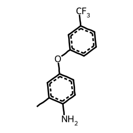 Cc1cc(Oc2cccc(C(F)(F)F)c2)ccc1N